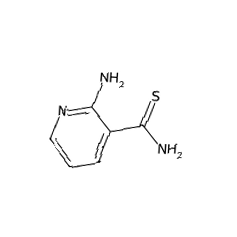 NC(=S)c1cccnc1N